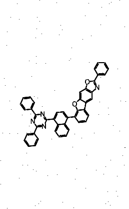 c1ccc(-c2nc(-c3ccccc3)nc(-c3ccc(-c4cccc5c4oc4cc6oc(-c7ccccc7)nc6cc45)c4ccccc34)n2)cc1